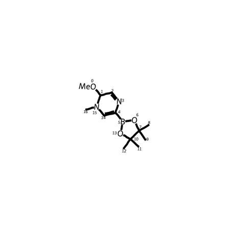 COC1C=NC(B2OC(C)(C)C(C)(C)O2)=CN1C